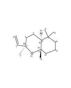 C=C[C@@]1(C)CC[C@H]2C(C)(C)CCC[C@]2(C)O1